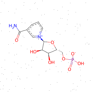 NC(=O)c1ccc[n+]([C@H]2O[C@H](COP(=O)([O-])O)[C@@H](O)[C@H]2O)c1